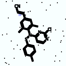 Cc1ccc(SN(c2ccnc(Cl)n2)c2c(C)cc(/C=C/C#N)cc2C)cc1